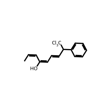 C\C=C/C(O)=C\C=C\C(c1ccccc1)C(Cl)(Cl)Cl